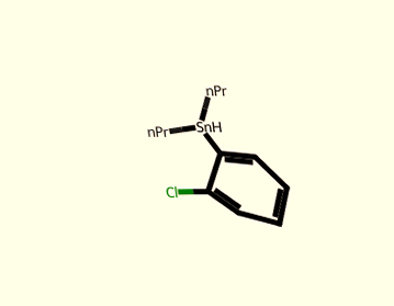 CC[CH2][SnH]([CH2]CC)[c]1ccccc1Cl